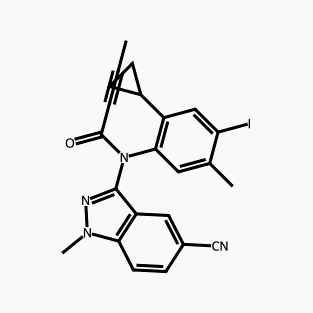 CC#CC(=O)N(c1cc(C)c(I)cc1C1CC1)c1nn(C)c2ccc(C#N)cc12